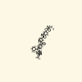 NC(=O)Oc1ccc2oc(-c3ccnc(C(=O)N4CCN(C(c5ccccc5)c5nnn(C6CC6)n5)CC4)c3)nc2c1